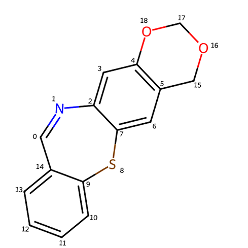 C1=Nc2cc3c(cc2Sc2ccccc21)COCO3